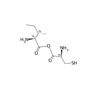 CC[C@H](C)[C@H](N)C(=O)OC(=O)[C@@H](N)CS